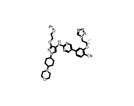 CC(C)OCCOc1nn(C2CCC(N3CCOCC3)CC2)cc1Nc1ncc(-c2ccc(C#N)c(O[C@@H](C)Cn3cnnn3)c2)cn1